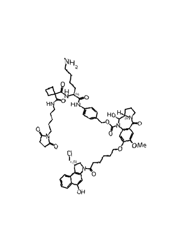 COc1cc2c(cc1OCCCCCC(=O)N1C[C@@H](CCl)c3c1cc(O)c1ccccc31)N(C(=O)OCc1ccc(NC(=O)[C@H](CCCCN)NC(=O)C3(C(=O)NCCCCCN4C(=O)CCC4=O)CCC3)cc1)C(O)[C@@H]1CCCN1C2=O